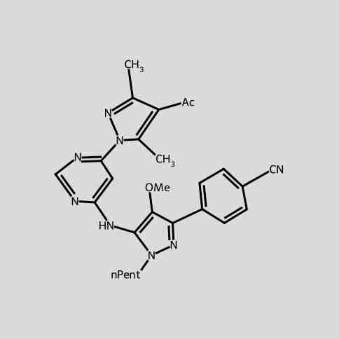 CCCCCn1nc(-c2ccc(C#N)cc2)c(OC)c1Nc1cc(-n2nc(C)c(C(C)=O)c2C)ncn1